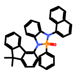 CC1(C)c2ccccc2-c2c(N3c4ccccc4N(c4cccc5ccccc45)P3(=O)c3ccccc3)cccc21